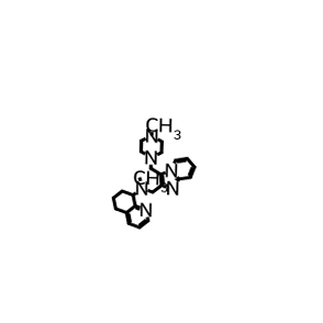 CN1CCN(Cc2c(CN(C)C3CCCc4cccnc43)nc3ccccn23)CC1